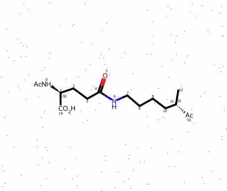 CC(=O)N[C@@H](CCC(=O)NCCCC[C@H](C)C(C)=O)C(=O)O